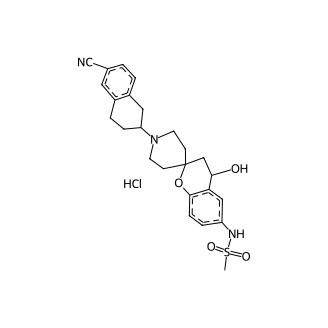 CS(=O)(=O)Nc1ccc2c(c1)C(O)CC1(CCN(C3CCc4cc(C#N)ccc4C3)CC1)O2.Cl